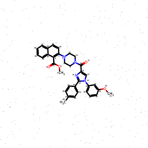 COC(=O)c1c(N2CCN(C(=O)c3cn(-c4cccc(OC)c4)c(-c4ccc(C)cc4)n3)CC2)ccc2ccccc12